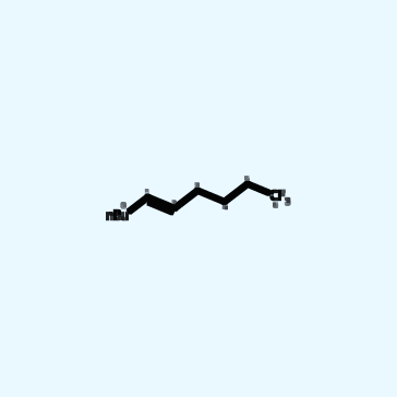 CCCCC=CCCCC(F)(F)F